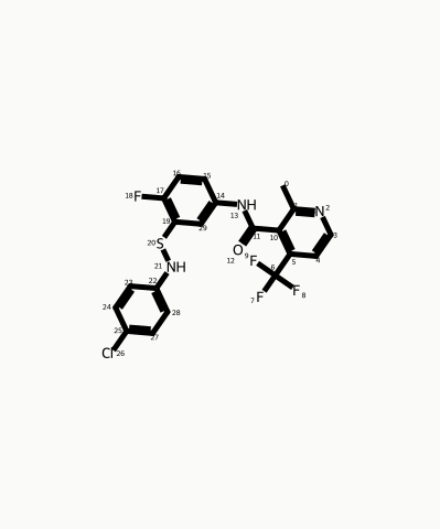 Cc1nccc(C(F)(F)F)c1C(=O)Nc1ccc(F)c(SNc2ccc(Cl)cc2)c1